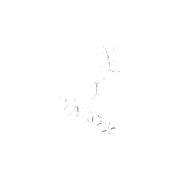 C=C[C@@]12CCc3cc(NS(=O)(=O)O)ccc3[C@H]1[C@@H](CCCCCCC(O)C(F)(F)C(F)(F)C(F)(F)F)C[C@@]1(C)[C@H]2CC[C@@H]1O